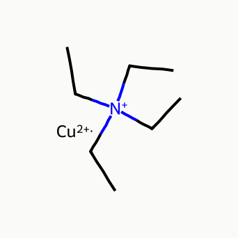 CC[N+](CC)(CC)CC.[Cu+2]